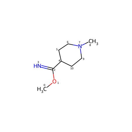 COC(=N)C1CCN(C)CC1